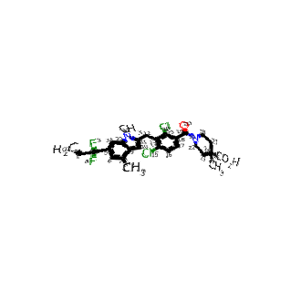 C=CC(F)(F)c1cc(C)c2cc(Cc3c(Cl)ccc(C(=O)N4CCC(C)(C(=O)O)CC4)c3Cl)n(C)c2c1